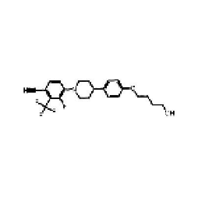 N#Cc1ccc(N2CCC(c3ccc(OCCCCO)cc3)CC2)c(F)c1C(F)(F)F